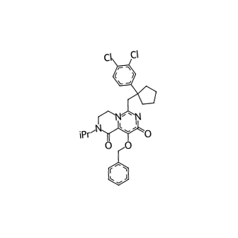 CC(C)N1CCn2c(CC3(c4ccc(Cl)c(Cl)c4)CCCC3)nc(=O)c(OCc3ccccc3)c2C1=O